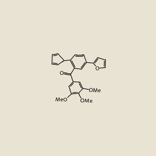 COc1cc(C(=O)c2cc(-c3ccco3)ccc2C2C=CC=C2)cc(OC)c1OC